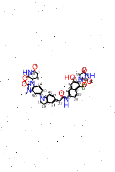 Cn1c(=O)n(C2CCC(=O)NC2=O)c2ccc(N3CCc4cc(CC(=O)Nc5ccc6c(F)c(N7CC(=O)NS7(=O)=O)c(O)cc6c5)ccc43)cc21